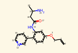 C=CCOc1ccc(-c2cccnc2)c(NC(=O)CC(C)N)c1